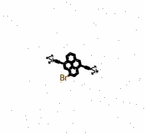 C[Si](C)(C)C#Cc1cc2c(Br)ccc3c(C#C[Si](C)(C)C)cc4cccc1c4c23